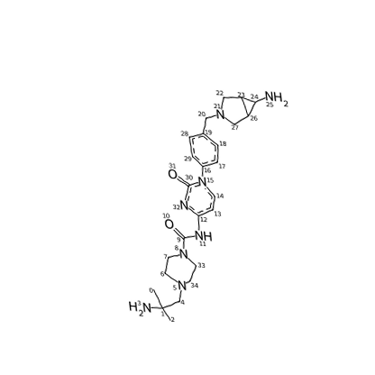 CC(C)(N)CN1CCN(C(=O)Nc2ccn(-c3ccc(CN4CC5C(N)C5C4)cc3)c(=O)n2)CC1